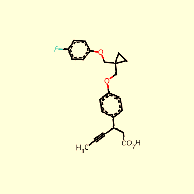 CC#CC(CC(=O)O)c1ccc(OCC2(COc3ccc(F)cc3)CC2)cc1